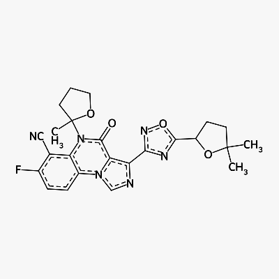 CC1(C)CCC(c2nc(-c3ncn4c3c(=O)n(C3(C)CCCO3)c3c(C#N)c(F)ccc34)no2)O1